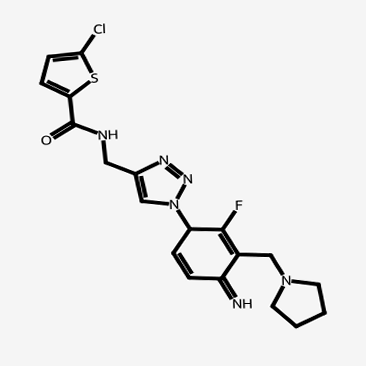 N=C1C=CC(n2cc(CNC(=O)c3ccc(Cl)s3)nn2)C(F)=C1CN1CCCC1